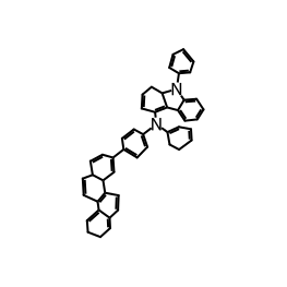 C1=CCCC(N(C2=C3c4ccccc4N(c4ccccc4)C3CC=C2)c2ccc(C3=CC4c5ccc6c(c5C=CC4C=C3)=CCCC=6)cc2)=C1